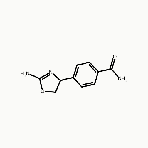 NC(=O)c1ccc(C2COC(N)=N2)cc1